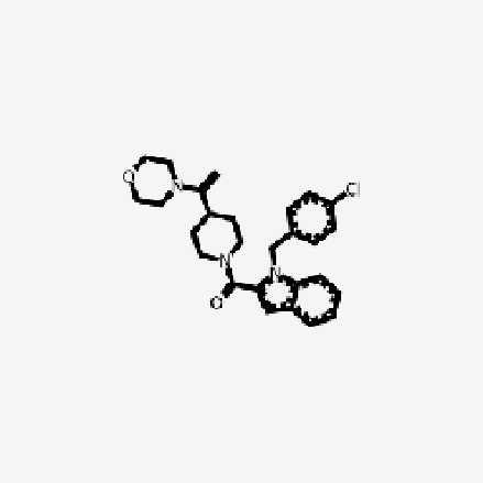 C=C(C1CCN(C(=O)c2cc3ccccc3n2Cc2ccc(Cl)cc2)CC1)N1CCOCC1